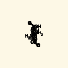 Nc1nc(C(=O)N[C@H](CO)C(=O)OCCc2ccccc2)c(N)nc1C(=O)N[C@H](CO)C(=O)OCCc1ccccc1